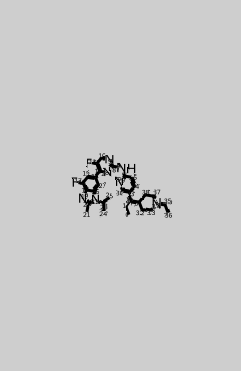 CC[C@@H](c1ccc(Nc2ncc(F)c(-c3cc(F)c4nc(C)n(C(C)C)c4c3)n2)nc1)C1CCN(CC)CC1